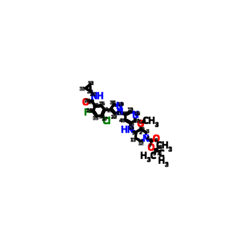 CO[C@@H]1CN(C(=O)OC(C)(C)C)CCC1Nc1cncc(-n2cc(-c3cc(C(=O)NC4CC4)c(F)cc3Cl)cn2)c1